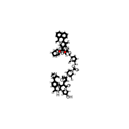 CCc1cccc2cccc(-c3ncc4c(N5CC6CCC(C5)N6C(=O)OC(C)(C)C)nc(OC[C@@H]5CC[C@@H](COC(=O)N6CCN(c7cc(C(C(=O)N8C[C@H](O)C[C@H]8C(=O)NC(C)c8ccc(-c9scnc9C)cc8)C(C)C)on7)[C@H](C)C6)N5C)nc4c3F)c12